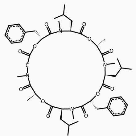 CC(C)C[C@H]1C(=O)O[C@H](Cc2ccccc2)C(=O)N(C)[C@@H](CC(C)C)C(=O)O[C@H](C)C(=O)N(C)CC(=O)O[C@H](Cc2ccccc2)C(=O)N(C)[C@@H](CC(C)C)C(=O)O[C@H](C)C(=O)N1C